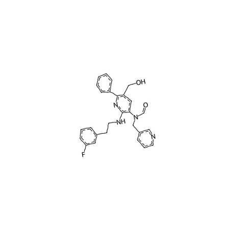 O=CN(Cc1cccnc1)c1cc(CO)c(-c2ccccc2)nc1NCCc1cccc(F)c1